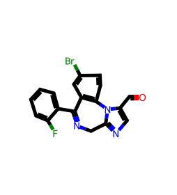 O=Cc1cnc2n1-c1ccc(Br)cc1C(c1ccccc1F)=NC2